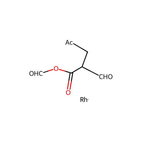 CC(=O)CC(C=O)C(=O)OC=O.[Rh]